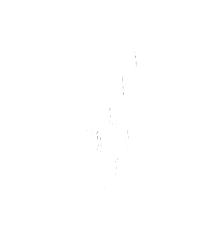 CCCCCn1cnc(NN)nc1=O